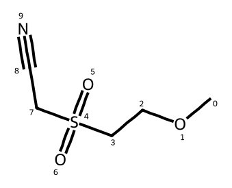 COCCS(=O)(=O)CC#N